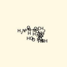 CCc1cc(Nc2nccn3c(-c4c[nH]nc4C(F)(F)F)cnc23)ccc1C(=O)NCCCNC(=O)C1CC(N)C1.O=CO